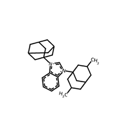 CC1CC2CC(C)CC(n3c[n+](C45CC6CC(CC(C6)C4)C5)c4ccccc43)(C1)C2